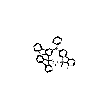 CC1(C)c2ccccc2-c2ccc(N(c3ccccc3)c3cc(C4(C)c5ccccc5-c5ccccc54)c4oc5ccccc5c4c3)cc21